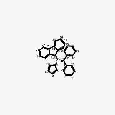 C1=C[CH]([Zr](=[C](c2ccccc2)c2ccccc2)[CH]2c3ccccc3-c3ccccc32)C=C1